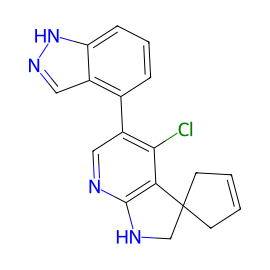 Clc1c(-c2cccc3[nH]ncc23)cnc2c1C1(CC=CC1)CN2